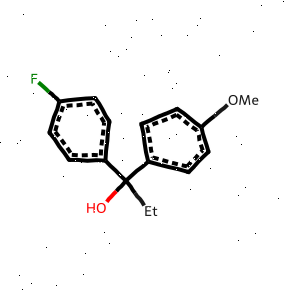 CCC(O)(c1ccc(F)cc1)c1ccc(OC)cc1